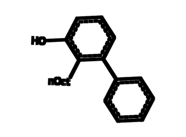 CCCCCCCCc1c(O)cccc1-c1ccccc1